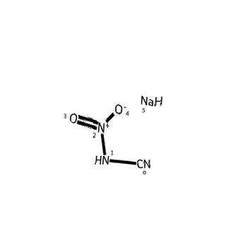 N#CN[N+](=O)[O-].[NaH]